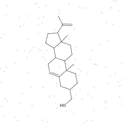 C=C(C)C1CCC2C3CC=C4CC(CO)CCC4(C)C3CCC12C